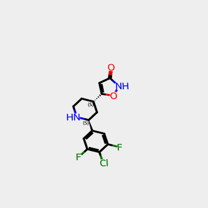 O=c1cc([C@H]2CCN[C@H](c3cc(F)c(Cl)c(F)c3)C2)o[nH]1